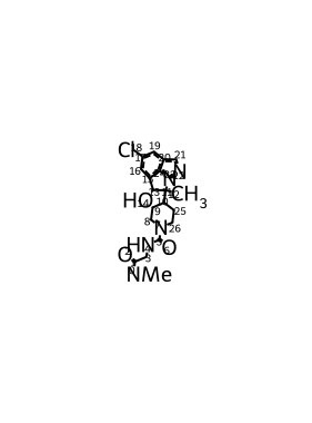 CNC(=O)CNC(=O)N1CCC(C2(C)[C@H](O)c3cc(Cl)cc4cnn2c34)CC1